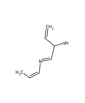 C=CC(/C=N/C=C\C)CCC